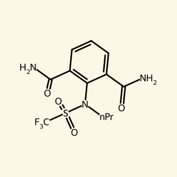 CCCN(c1c(C(N)=O)cccc1C(N)=O)S(=O)(=O)C(F)(F)F